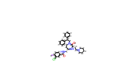 O=C(NC[C@@H]1CCN(CC(c2ccccc2)c2ccccc2)C(=O)[C@H](CCN2CCCCC2)N1)c1ccc(I)c(Cl)c1